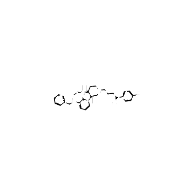 O=C(CCCN1CC[C@H]2[C@@H](C1)c1cccc3c1N2CCN3Cc1ccccc1)c1ccc(F)cc1